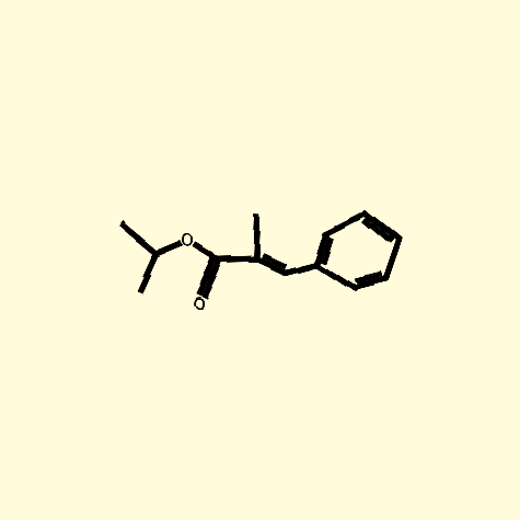 C/C(=C\c1ccccc1)C(=O)OC(C)C